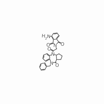 Nc1cccc2c1C(=O)N(CC(=O)N1c3ccccc3N(Cc3ccccc3)C(=O)C3CCCC31)C2=O